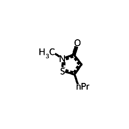 CCCc1cc(=O)n(C)s1